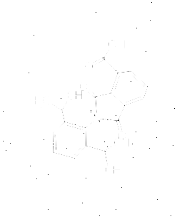 CC(C)c1cccc(C(C)C)c1N1C(=O)c2cccc(C(=O)O)c2C1=O